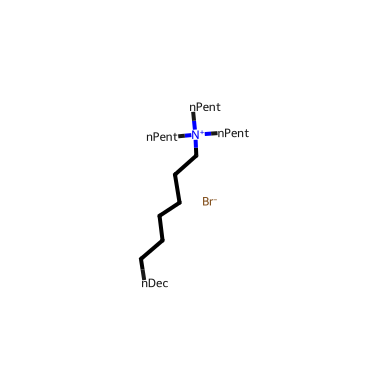 CCCCCCCCCCCCCCCC[N+](CCCCC)(CCCCC)CCCCC.[Br-]